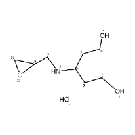 Cl.OCCC(CCO)NCC1CO1